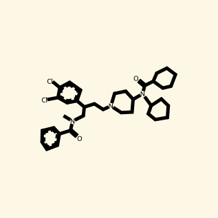 CN(CC(CCN1CCC(N(C(=O)C2CCCCC2)C2CCCCC2)CC1)c1ccc(Cl)c(Cl)c1)C(=O)c1ccccc1